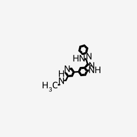 CCNCc1cncc(-c2ccc3[nH]nc(-c4nc5ccccc5[nH]4)c3c2)c1